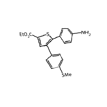 CCOC(=O)c1cc(-c2ccc(SC)cc2)c(-c2ccc(N)cc2)s1